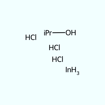 CC(C)O.Cl.Cl.Cl.[InH3]